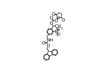 CC(OC(=O)ON1C(=O)CCC1=O)c1ccc(CNC(=O)OCC2c3ccccc3-c3ccccc32)cc1[N+](=O)[O-]